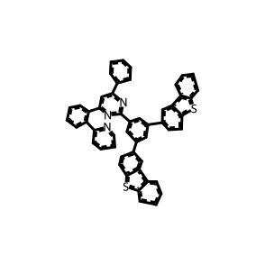 c1ccc(-c2cc(-c3ccccc3-c3ccccn3)nc(-c3cc(-c4ccc5sc6ccccc6c5c4)cc(-c4ccc5sc6ccccc6c5c4)c3)n2)cc1